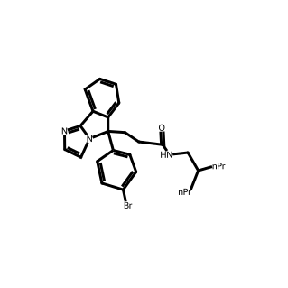 CCCC(CCC)CNC(=O)CCC1(c2ccc(Br)cc2)c2ccccc2-c2nccn21